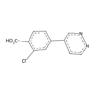 O=C(O)c1ccc(-c2ccnnc2)cc1Cl